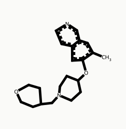 Cc1cc2cnccc2cc1OC1CCN(CC2CCOCC2)CC1